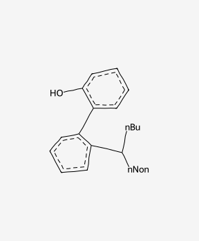 CCCCCCCCCC(CCCC)c1ccccc1-c1ccccc1O